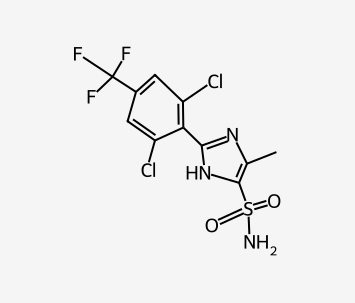 Cc1nc(-c2c(Cl)cc(C(F)(F)F)cc2Cl)[nH]c1S(N)(=O)=O